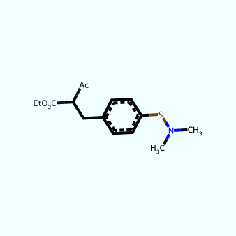 CCOC(=O)C(Cc1ccc(SN(C)C)cc1)C(C)=O